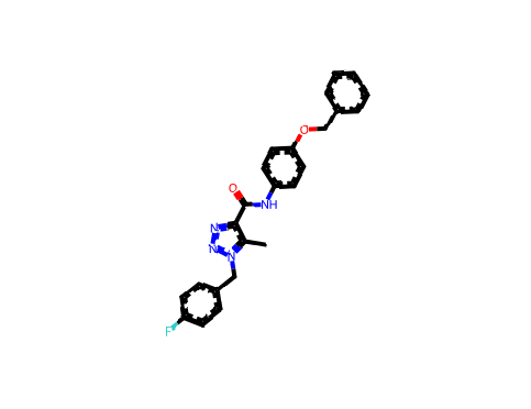 Cc1c(C(=O)Nc2ccc(OCc3ccccc3)cc2)nnn1Cc1ccc(F)cc1